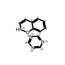 C1=Cc2ccccc2ON1.c1ncncn1